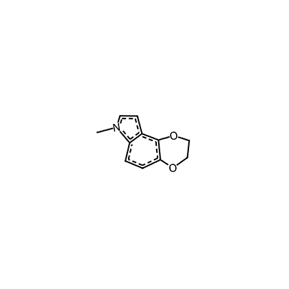 Cn1ccc2c3c(ccc21)OCCO3